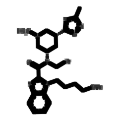 COCCCCn1c(C(=O)N(CC(C)C)[C@H]2C[C@@H](c3nc(C)no3)CN(C(=O)O)C2)nc2ccccc21